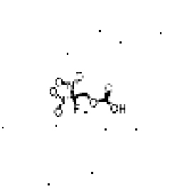 O=C(O)OCC(F)([N+](=O)[O-])[N+](=O)[O-]